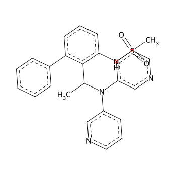 CC(c1c(NS(C)(=O)=O)cccc1-c1ccccc1)N(c1cccnc1)c1cccnc1